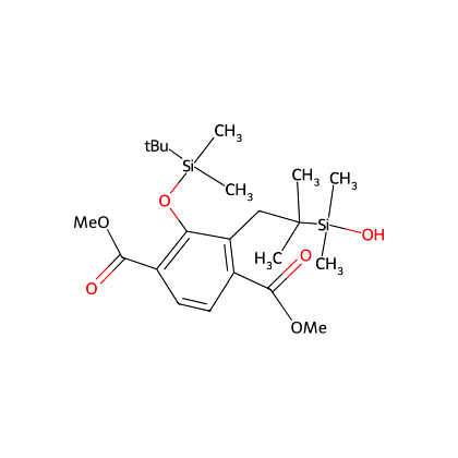 COC(=O)c1ccc(C(=O)OC)c(O[Si](C)(C)C(C)(C)C)c1CC(C)(C)[Si](C)(C)O